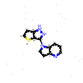 c1cnc2ccn(-c3n[nH]c4ccsc34)c2c1